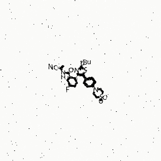 C[C@@H](C#N)NC(=O)[C@@H]1C[C@@H](F)CC[C@H]1c1nc(C(C)(C)C)sc1-c1ccc(N2CCS(=O)(=O)CC2)cc1